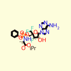 CC(C)OC(=O)[C@H](C)NP(=O)(OC[C@@]1(C(F)F)O[C@@H](n2cnc3c(N)ncnc32)[C@H](O)[C@H]1F)Oc1ccccc1